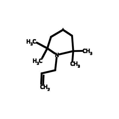 C=CCN1C(C)(C)C[CH]CC1(C)C